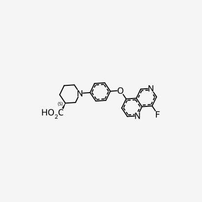 O=C(O)[C@H]1CCCN(c2ccc(Oc3ccnc4c(F)cncc34)cc2)C1